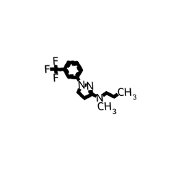 CCCN(C)C1=NN(c2cccc(C(F)(F)F)c2)CC1